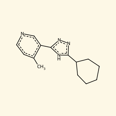 Cc1ccncc1-c1nnc(C2CCCCC2)[nH]1